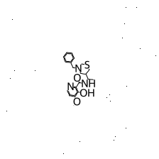 COc1ccnc(C(=O)NC(C)C2CSCN(Cc3ccccc3)C2)c1O